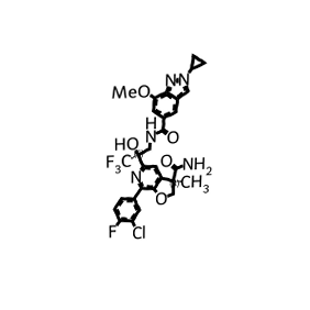 COc1cc(C(=O)NC[C@](O)(c2cc3c(c(-c4ccc(F)c(Cl)c4)n2)OC[C@]3(C)C(N)=O)C(F)(F)F)cc2cn(C3CC3)nc12